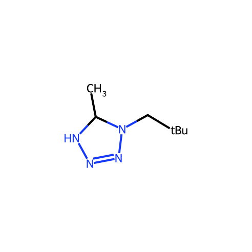 CC1NN=NN1CC(C)(C)C